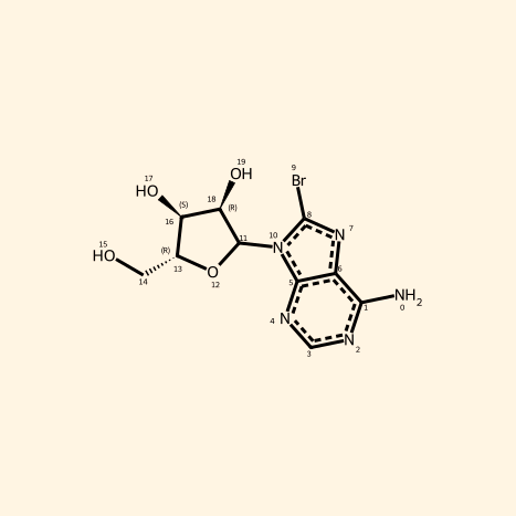 Nc1ncnc2c1nc(Br)n2C1O[C@H](CO)[C@@H](O)[C@H]1O